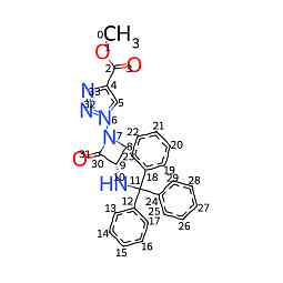 COC(=O)c1cn(N2C[C@H](NC(c3ccccc3)(c3ccccc3)c3ccccc3)C2=O)nn1